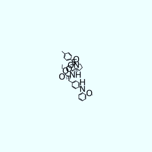 CCOC(=O)[C@H](Cc1ccc(Nc2ccccc2OC)cc1)NC(=O)[C@@H]1CCCN1S(=O)(=O)c1ccc(C)cc1